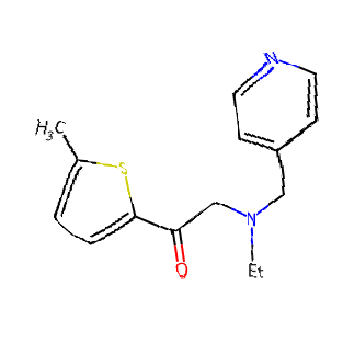 CCN(CC(=O)c1ccc(C)s1)Cc1ccncc1